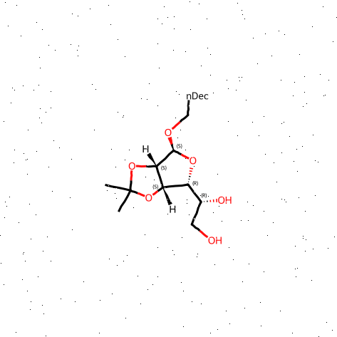 CCCCCCCCCCCO[C@H]1O[C@H]([C@H](O)CO)[C@@H]2OC(C)(C)O[C@H]12